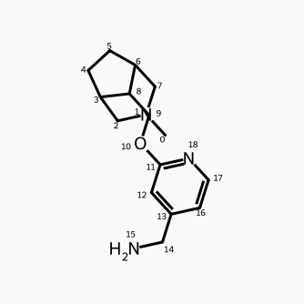 CN1CC2CCC(C1)C2COc1cc(CN)ccn1